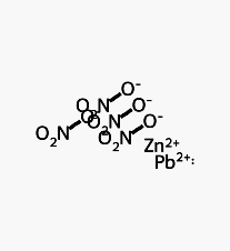 O=[N+]([O-])[O-].O=[N+]([O-])[O-].O=[N+]([O-])[O-].O=[N+]([O-])[O-].[Pb+2].[Zn+2]